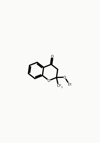 CCOC1(C(F)(F)F)CC(=O)c2ccccc2O1